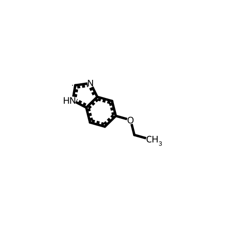 CCOc1ccc2[nH][c]nc2c1